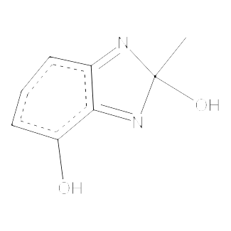 CC1(O)N=c2cccc(O)c2=N1